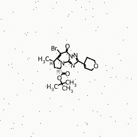 C[C@@H]1C[C@@H](C(=O)OC(C)(C)C)n2c1c(Br)c(=O)n1nc(C3=CCOCC3)nc21